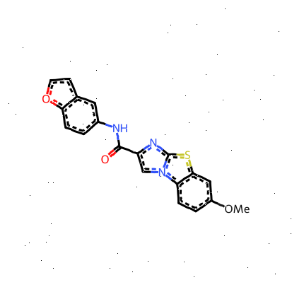 COc1ccc2c(c1)sc1nc(C(=O)Nc3ccc4occc4c3)cn12